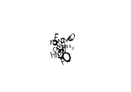 Nc1nn2c(c1C(=O)Nc1cncc(F)c1N1CCN([C@H]3CCOC3)CC1)NCC(F)C21CCCCCCC1